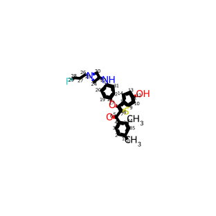 Cc1ccc(C(=O)c2sc3cc(O)ccc3c2Oc2ccc(NC3CN(CCCF)C3)cc2)c(C)c1